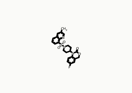 Cc1cnc2c(S(=O)(=O)N3CCC(N4C(=O)OCc5cc(F)ccc54)CC3)cccc2c1